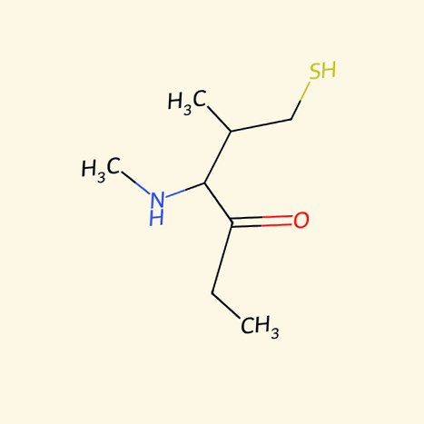 CCC(=O)C(NC)C(C)CS